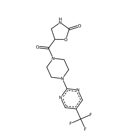 O=C1NCC(C(=O)N2CCN(c3ncc(C(F)(F)F)cn3)CC2)O1